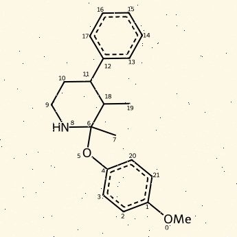 COc1ccc(OC2(C)NCCC(c3ccccc3)C2C)cc1